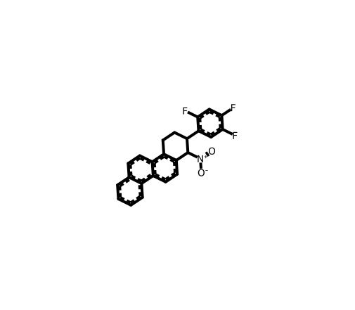 O=[N+]([O-])C1c2ccc3c(ccc4ccccc43)c2CCC1c1cc(F)c(F)cc1F